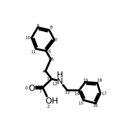 O=C(O)C(CCc1ccccc1)NCc1ccccc1